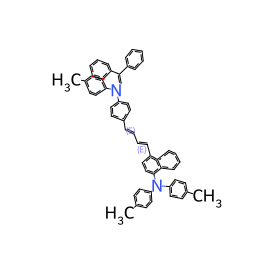 Cc1ccc(N(C=C(c2ccccc2)c2ccccc2)c2ccc(/C=C/C=C/c3ccc(N(c4ccc(C)cc4)c4ccc(C)cc4)c4ccccc34)cc2)cc1